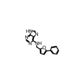 c1ccc(-c2ccc(CNc3ncnc4[nH]cnc34)o2)cc1